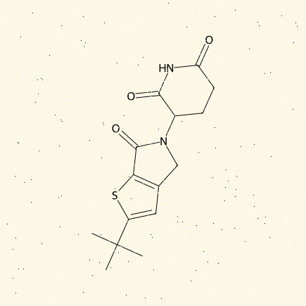 CC(C)(C)c1cc2c(s1)C(=O)N(C1CCC(=O)NC1=O)C2